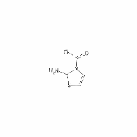 NC1SC=CN1C(=O)Cl